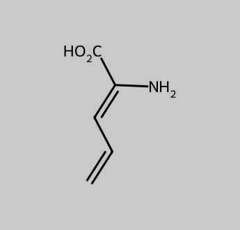 C=C/C=C(\N)C(=O)O